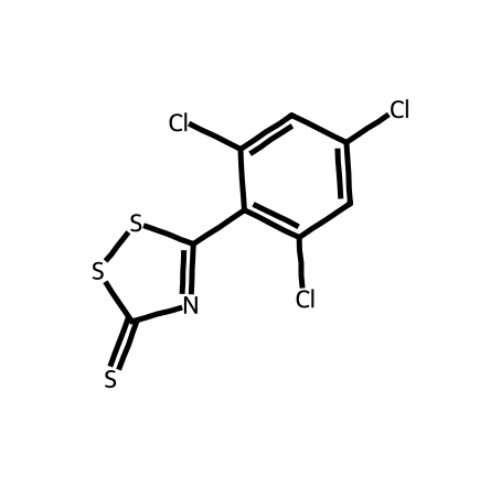 S=c1nc(-c2c(Cl)cc(Cl)cc2Cl)ss1